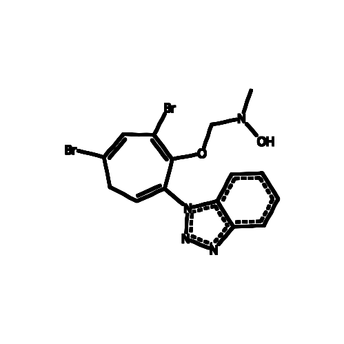 CN(O)COC1=C(Br)C=C(Br)CC=C1n1nnc2ccccc21